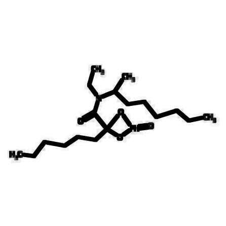 CCCCCCC(C)N(CC)C(=O)C1(CCCCCC)O[PH](=O)O1